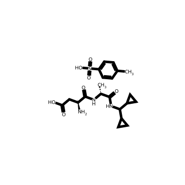 C[C@@H](NC(=O)[C@@H](N)CC(=O)O)C(=O)NC(C1CC1)C1CC1.Cc1ccc(S(=O)(=O)O)cc1